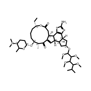 CC[C@H]1CCC[C@H](O[C@H]2CC[C@H](N(C)C)C(C)O2)[C@@H](C)C(=O)C2=C[C@@H]3C(c4sc(N)nc4[C@@H]4C[C@@H](OC(OC)C(OC)C(OC)C(OC)C(C)C)C[C@@H]34)[C@@H]2CC(=O)O1